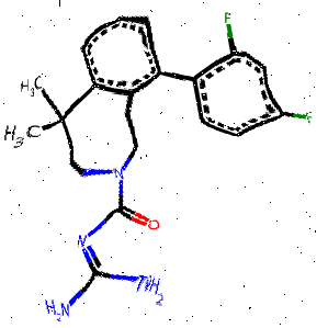 CC1(C)CN(C(=O)N=C(N)N)Cc2c(-c3ccc(F)cc3F)cccc21